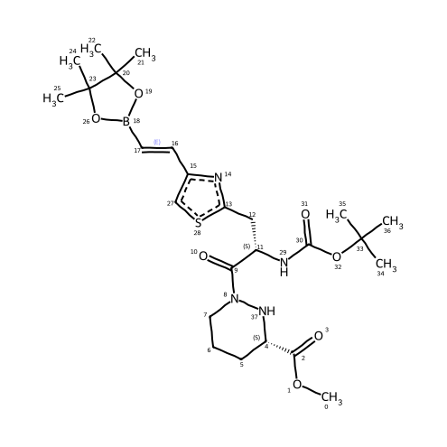 COC(=O)[C@@H]1CCCN(C(=O)[C@H](Cc2nc(/C=C/B3OC(C)(C)C(C)(C)O3)cs2)NC(=O)OC(C)(C)C)N1